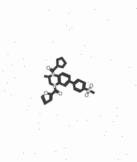 CC1CN(C(=O)c2ccco2)c2cc(-c3ccc(S(C)(=O)=O)cc3)ccc2N1C(=O)C1CCCC1